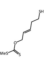 CSC(=S)OC/C=C/CCS